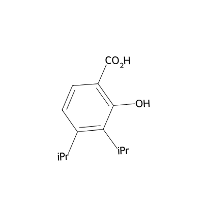 CC(C)c1ccc(C(=O)O)c(O)c1C(C)C